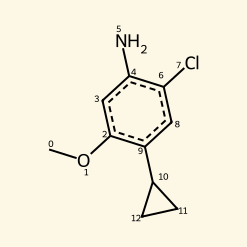 COc1cc(N)c(Cl)cc1C1CC1